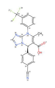 CC1=C(C(=O)O)[C@@H](c2ccc(C#N)cc2)n2ncnc2N1c1cccc(C(F)(F)F)c1